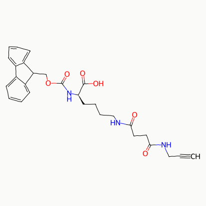 C#CCNC(=O)CCC(=O)NCCCC[C@@H](NC(=O)OCC1c2ccccc2-c2ccccc21)C(=O)O